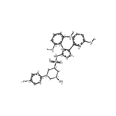 COc1cccc(-c2nnc(NS(=O)(=O)[C@H]3C[C@@H](O)CN(c4ncc(F)cn4)C3)n2-c2c(OC)cccc2OC)n1